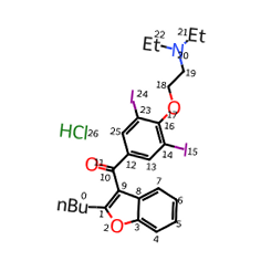 CCCCc1oc2ccccc2c1C(=O)c1cc(I)c(OCCN(CC)CC)c(I)c1.Cl